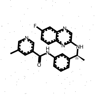 Cc1cncc(C(=O)Nc2cccc([C@H](C)Nc3cnc4cc(F)ccc4n3)c2)c1